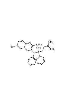 CSc1nc2ccc(Br)cc2cc1C(c1ccccc1)C(O)(CCN(C)C)c1ccccc1